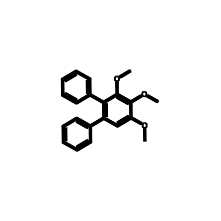 COc1cc(-c2ccccc2)c(-c2ccccc2)c(OC)c1OC